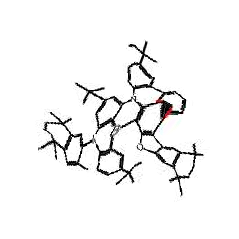 Cc1cc2c(cc1N1c3ccc(C(C)(C)C)cc3B3c4c1cc(C(C)(C)C)cc4N(c1ccc(C(C)(C)C)cc1-c1ccccc1)c1ccc4c(oc5cc6c(cc54)C(C)(C)CCC6(C)C)c13)C(C)(C)CCC2(C)C